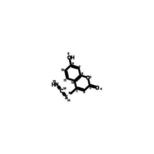 Cc1cc(=O)oc2cc(O)ccc12.N=C=S